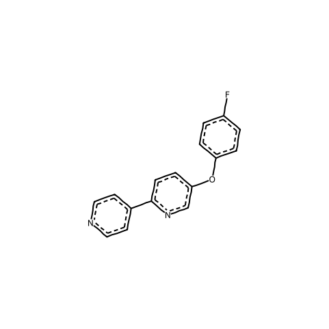 Fc1ccc(Oc2ccc(-c3ccncc3)nc2)cc1